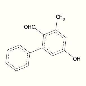 Cc1cc(O)cc(-c2ccccc2)c1C=O